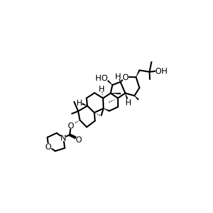 C[C@@H]1C[C@H](CC(C)(C)O)O[C@H]2[C@H]1[C@@]1(C)CC[C@@]34C[C@@]35CC[C@H](OC(=O)N3CCOCC3)C(C)(C)[C@@H]5CC[C@H]4[C@]1(C)[C@H]2O